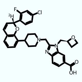 [2H][C@]1(c2ccc(Cl)cc2F)C=Cc2cccc(C3CCN(Cc4nc5ccc(C(=O)O)cc5n4C[C@@H]4CCO4)CC3)c2O1